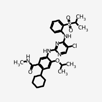 CNC(=O)c1cc(Nc2ncc(Cl)c(Nc3ccccc3S(=O)(=O)C(C)C)n2)c(OC(C)C)cc1C1CCCCC1